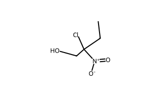 CCC(Cl)(CO)[N+](=O)[O-]